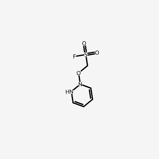 O=S(=O)(F)CON1C=CC=CN1